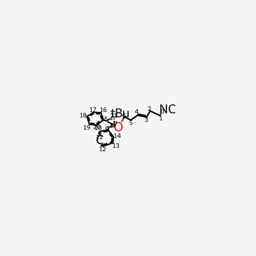 [C-]#[N+]CC/C=C/CCO[Si](c1ccccc1)(c1ccccc1)C(C)(C)C